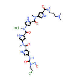 CN(C)CCCN(C)C(=O)c1cc(N(C)C(=O)c2cc(N(C)C(=O)c3cc(N(C)C(=O)c4cc(NC(=O)N(CCCl)N=O)c[nH]4)c[nH]3)c[nH]2)c[nH]1.Cl